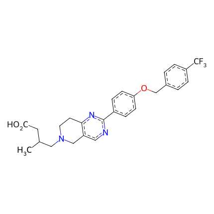 CC(CC(=O)O)CN1CCc2nc(-c3ccc(OCc4ccc(C(F)(F)F)cc4)cc3)ncc2C1